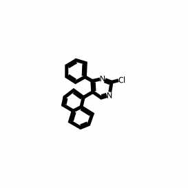 Clc1ncc(-c2cccc3ccccc23)c(-c2ccccc2)n1